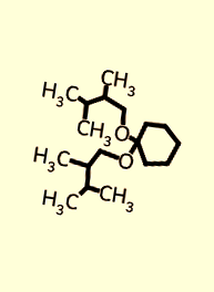 CC(C)C(C)COC1(OCC(C)C(C)C)CCCCC1